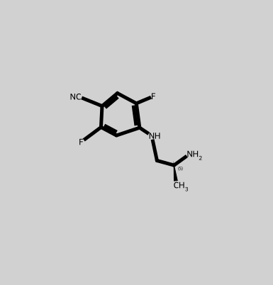 C[C@H](N)CNc1cc(F)c(C#N)cc1F